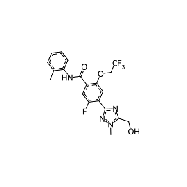 Cc1ccccc1NC(=O)c1cc(F)c(-c2nc(CO)n(C)n2)cc1OCC(F)(F)F